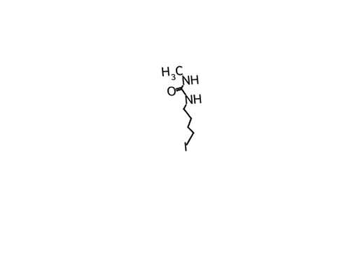 CNC(=O)NCCCCI